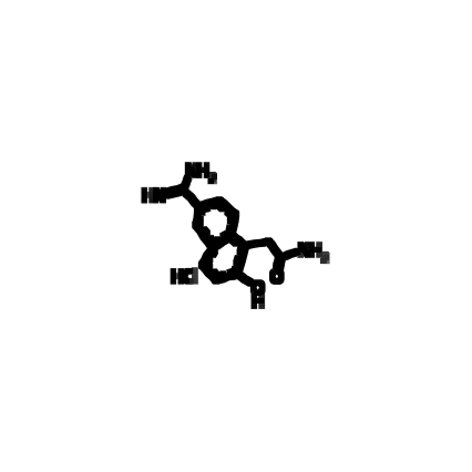 Cl.N=C(N)c1ccc2c(CC(N)=O)c(O)ccc2c1